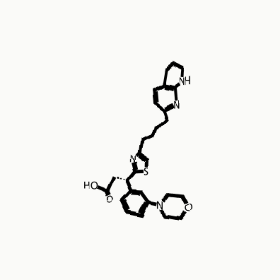 O=C(O)C[C@@H](c1cccc(N2CCOCC2)c1)c1nc(CCCCc2ccc3c(n2)NCCC3)cs1